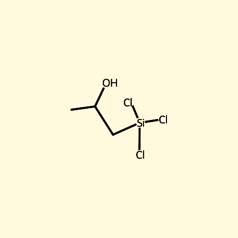 CC(O)C[Si](Cl)(Cl)Cl